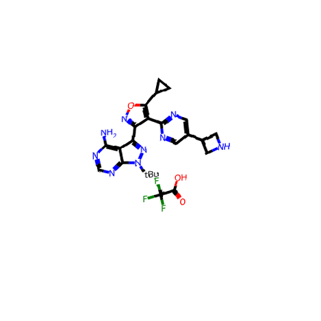 CC(C)(C)n1nc(-c2noc(C3CC3)c2-c2ncc(C3CNC3)cn2)c2c(N)ncnc21.O=C(O)C(F)(F)F